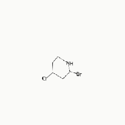 ClC1CCNC(Br)C1